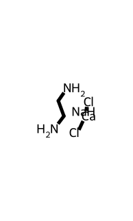 NCCN.[Cl][Ca][Cl].[NaH]